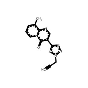 C#CCn1nnc(-c2cnc3c(C)cccn3c2=O)n1